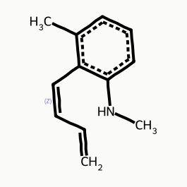 C=C/C=C\c1c(C)cccc1NC